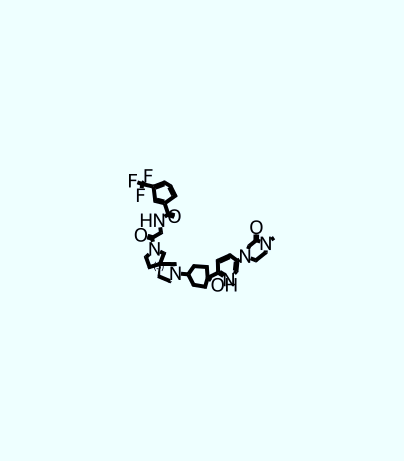 CN1CCN(c2ccc(C3(O)CCC(N4CC[C@]5(CCN(C(=O)CNC(=O)c6cccc(C(F)(F)F)c6)C5)C4)CC3)nc2)CC1=O